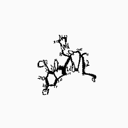 CCCC1(C)COC(Cn2cncn2)(c2cc3cc(Cl)cc(Cl)c3o2)OC1